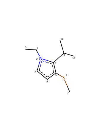 CCn1ccc(SC)c1C(C)C